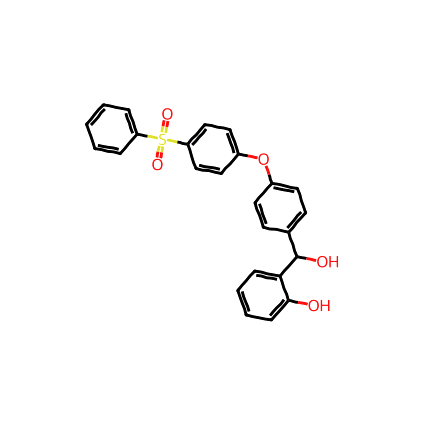 O=S(=O)(c1ccccc1)c1ccc(Oc2ccc(C(O)c3ccccc3O)cc2)cc1